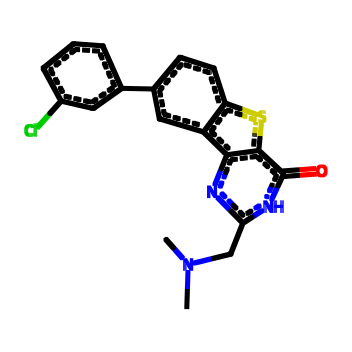 CN(C)Cc1nc2c(sc3ccc(-c4cccc(Cl)c4)cc32)c(=O)[nH]1